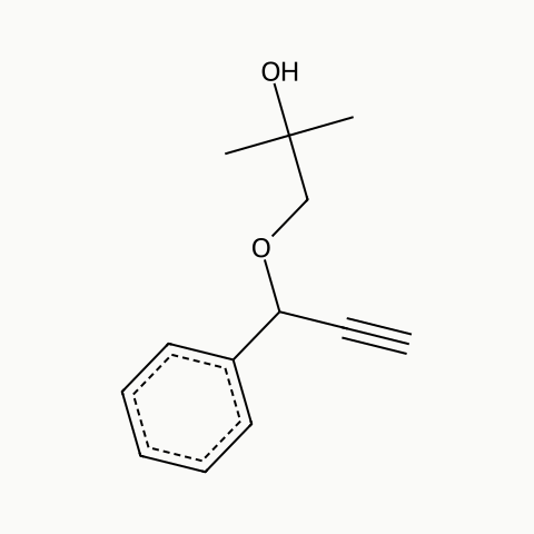 C#CC(OCC(C)(C)O)c1ccccc1